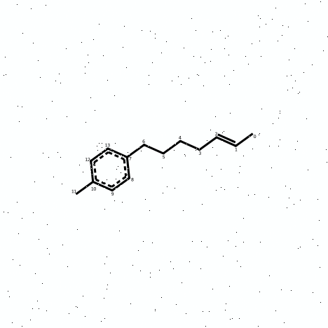 CC=CCCCCc1ccc(C)cc1